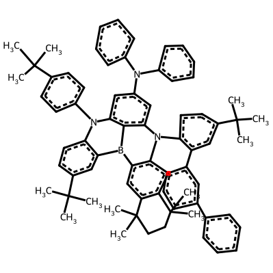 CC(C)(C)c1ccc(N2c3ccc(C(C)(C)C)cc3B3c4cc5c(cc4N(c4ccc(C(C)(C)C)cc4-c4cccc(-c6ccccc6)c4)c4cc(N(c6ccccc6)c6ccccc6)cc2c43)C(C)(C)CCC5(C)C)cc1